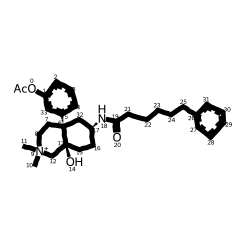 CC(=O)Oc1cccc([C@@]23CC[N+](C)(C)C[C@@]2(O)CC[C@@H](NC(=O)CCCCCc2ccccc2)C3)c1